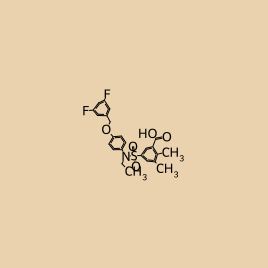 CCN(c1ccc(OCc2cc(F)cc(F)c2)cc1)S(=O)(=O)c1cc(C)c(C)c(C(=O)O)c1